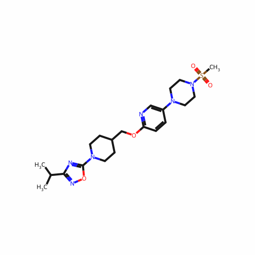 CC(C)c1noc(N2CCC(COc3ccc(N4CCN(S(C)(=O)=O)CC4)cn3)CC2)n1